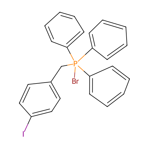 BrP(Cc1ccc(I)cc1)(c1ccccc1)(c1ccccc1)c1ccccc1